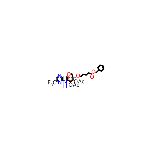 CC(=O)O[C@@H]1[C@@H](Nc2cncc(C(F)(F)F)n2)[C@H]2OC[C@](COCCCCC(=O)OCc3ccccc3)(O2)[C@@H]1OC(C)=O